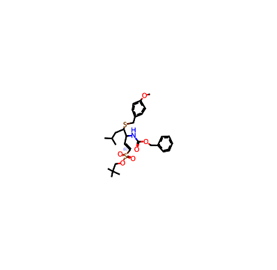 COc1ccc(CSC(CC(C)C)C(/C=C/S(=O)(=O)OCC(C)(C)C)NC(=O)OCc2ccccc2)cc1